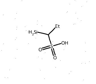 CCC([SiH2])S(=O)(=O)O